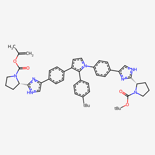 C=C(C)OC(=O)N1CCC[C@H]1c1nc(-c2ccc(-c3ccn(-c4ccc(-c5c[nH]c([C@@H]6CCCN6C(=O)OC(C)(C)C)n5)cc4)c3-c3ccc(C(C)(C)C)cc3)cc2)c[nH]1